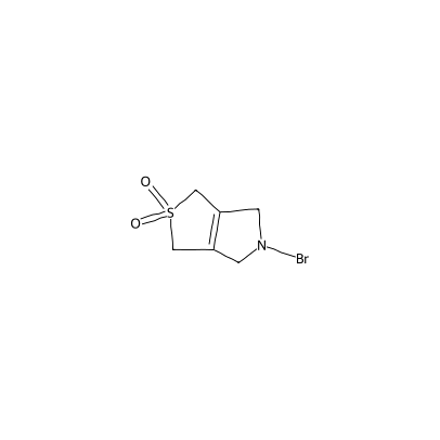 O=S1(=O)CC2=C(CN(Br)C2)C1